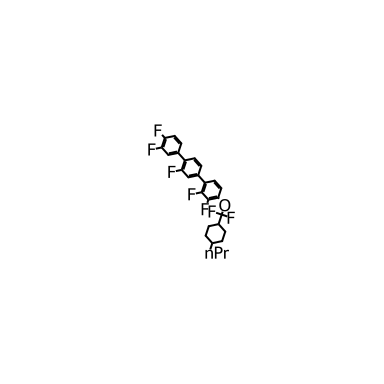 CCCC1CCC(C(F)(F)Oc2ccc(-c3ccc(-c4ccc(F)c(F)c4)c(F)c3)c(F)c2F)CC1